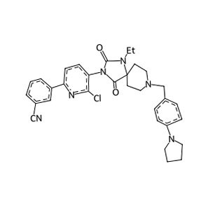 CCN1C(=O)N(c2ccc(-c3cccc(C#N)c3)nc2Cl)C(=O)C12CCN(Cc1ccc(N3CCCC3)cc1)CC2